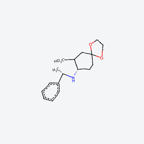 C[C@H](N[C@H]1CCC2(CC1C(=O)O)OCCO2)c1ccccc1